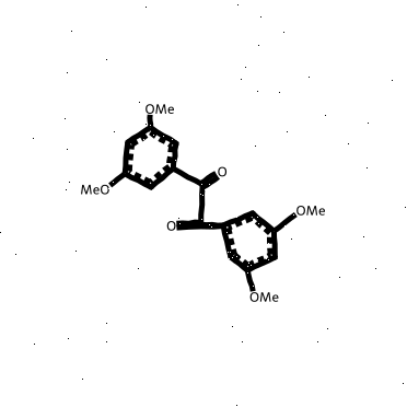 COc1cc(OC)cc(C(=O)C(=O)c2cc(OC)cc(OC)c2)c1